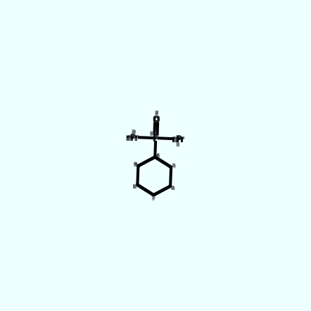 CCCP(=O)(CCC)C1CCCCC1